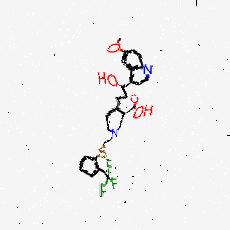 COc1ccc2nccc([C@@H](O)CC[C@@H]3CCN(CCSc4ccccc4C(F)(F)F)C[C@@H]3C(=O)O)c2c1